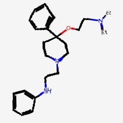 CCN(CC)CCOC1(c2ccccc2)CCN(CCNc2ccccc2)CC1